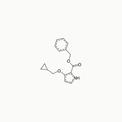 O=C(OCc1ccccc1)c1[nH]ccc1OCC1CC1